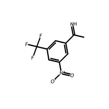 CC(=N)c1cc([N+](=O)[O-])cc(C(F)(F)F)c1